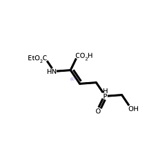 CCOC(=O)N/C(=C/C[PH](=O)CO)C(=O)O